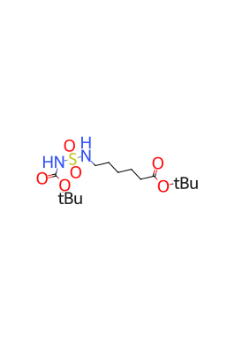 CC(C)(C)OC(=O)CCCCCNS(=O)(=O)NC(=O)OC(C)(C)C